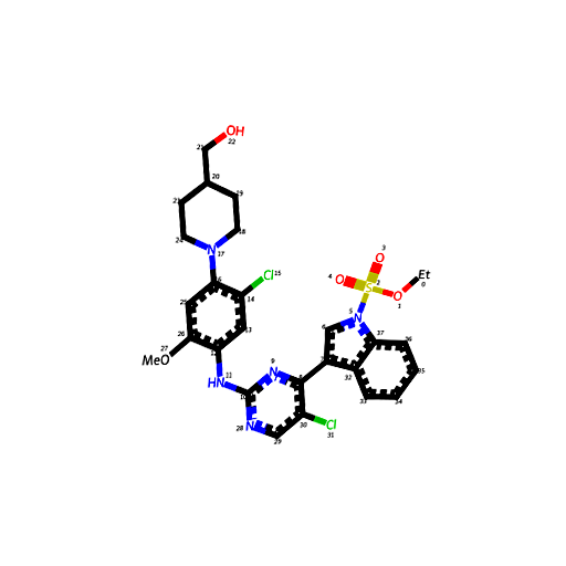 CCOS(=O)(=O)n1cc(-c2nc(Nc3cc(Cl)c(N4CCC(CO)CC4)cc3OC)ncc2Cl)c2ccccc21